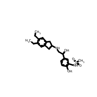 CCc1cc2c(cc1CC)CC(NCC(O)c1ccc(O)c(NS(C)(=O)=O)c1)C2